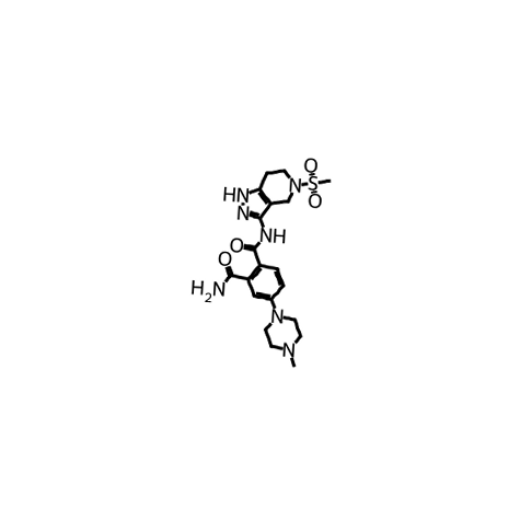 CN1CCN(c2ccc(C(=O)Nc3n[nH]c4c3CN(S(C)(=O)=O)CC4)c(C(N)=O)c2)CC1